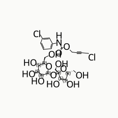 O=C(Nc1cccc(Cl)c1)OCC#CCCl.OC[C@H]1O[C@@](CO)(O[C@H]2O[C@H](CO)[C@@H](O)[C@H](O)[C@H]2O)[C@@H](O)[C@@H]1O